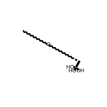 C=C.C=C.C=C.C=C.C=C.C=C.CCCCCCCCCCCCCCCCOCCCCCCCCCCCCCCCC.OCC(O)CO